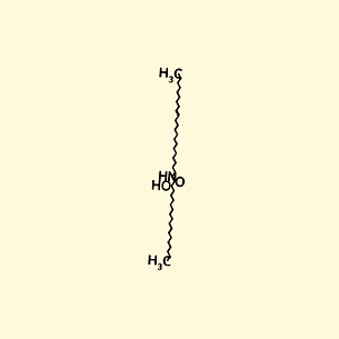 CCCCCCCCC=CCCCCCCCCCCCCNC(=O)C(O)CCCCCCCCCCCCCCCC